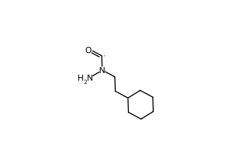 NN([C]=O)CCC1CCCCC1